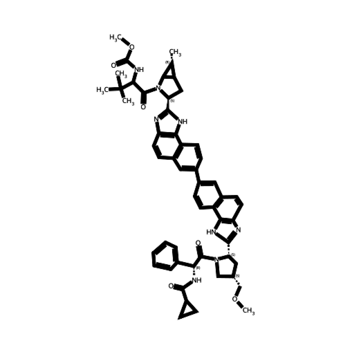 COC[C@H]1C[C@@H](c2nc3ccc4cc(-c5ccc6c(ccc7nc([C@@H]8CC9C([C@@H]9C)N8C(=O)C(NC(=O)OC)C(C)(C)C)[nH]c76)c5)ccc4c3[nH]2)N(C(=O)[C@H](NC(=O)C2CC2)c2ccccc2)C1